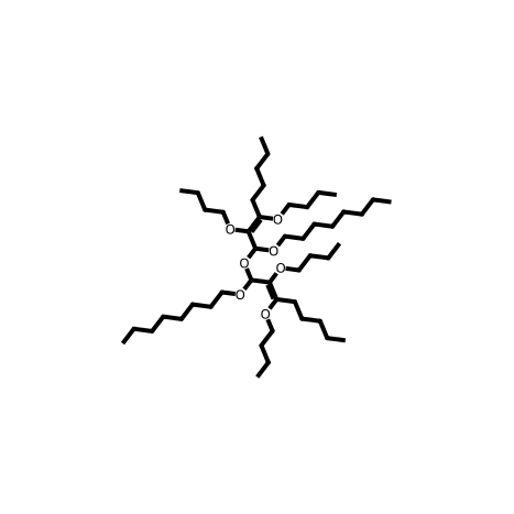 CCCCCCCCOC(OC(OCCCCCCCC)C(OCCCC)=C(CCCCC)OCCCC)C(OCCCC)=C(CCCCC)OCCCC